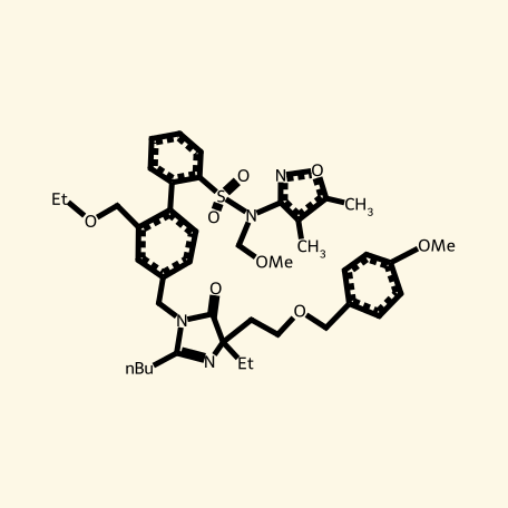 CCCCC1=NC(CC)(CCOCc2ccc(OC)cc2)C(=O)N1Cc1ccc(-c2ccccc2S(=O)(=O)N(COC)c2noc(C)c2C)c(COCC)c1